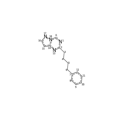 [c]1nc(CCCCc2ccccc2)nc2ccnn12